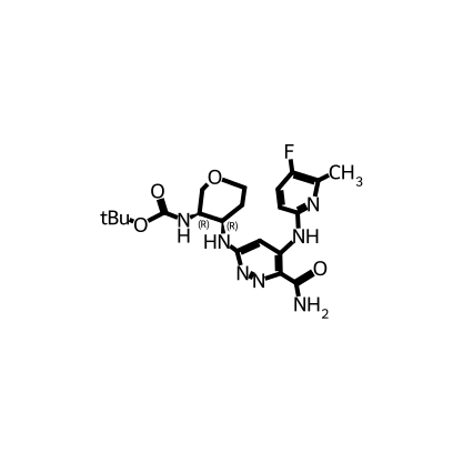 Cc1nc(Nc2cc(N[C@@H]3CCOC[C@@H]3NC(=O)OC(C)(C)C)nnc2C(N)=O)ccc1F